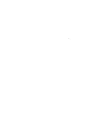 NCCC1=C=C=C(S(=O)(=O)F)C=C1